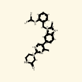 Cc1nc(N2CCNC(=O)C2)ncc1-c1ccc2nc(C)n(Cc3ccccc3OC(F)F)c2c1